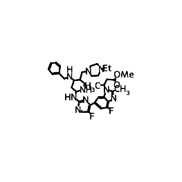 CCN1CCN(CC2CNC(Nc3ncc(F)c(-c4cc(F)c5nc(C)n(C(C)CC(=O)OC)c5c4)n3)CC2NCc2ccccc2)CC1